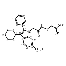 CC(C)N(CCNC(=O)Cn1c(-c2ccccc2)c(C2CCCCC2)c2ccc(C(=O)O)cc21)C(C)C